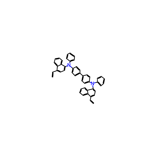 C=Cc1ccc(N(c2ccccc2)c2ccc(-c3ccc(N(c4ccccc4)c4ccc(C=C)c5ccccc45)cc3)cc2)c2ccccc12